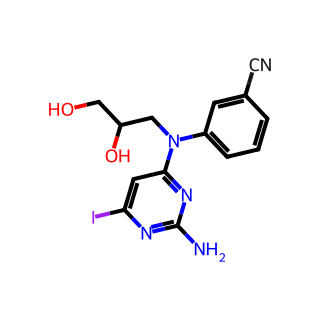 N#Cc1cccc(N(CC(O)CO)c2cc(I)nc(N)n2)c1